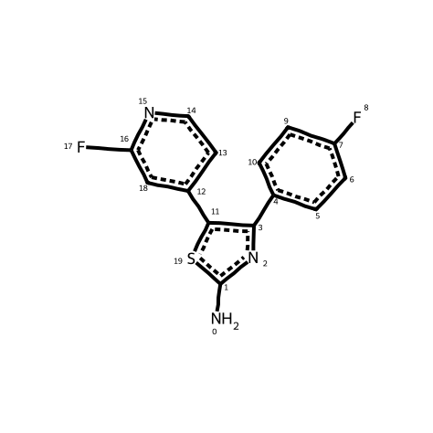 Nc1nc(-c2ccc(F)cc2)c(-c2ccnc(F)c2)s1